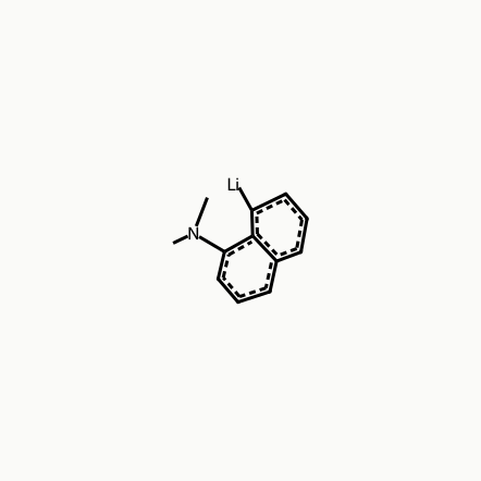 [Li][c]1cccc2cccc(N(C)C)c12